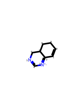 C1=CC2=[N+]C=NCC2CC1